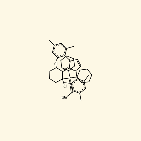 Cc1cc(C)c(N2C=CN(c3c(C)cc(C)cc3C)C2=C2C(Cl)CCCC2(Cl)P(=C=CC(C)(C)C)(C2CCCCC2)C2CCCCC2)c(C)c1